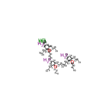 CCCCOc1c(CCCC)cc(P)cc1CCCC.CCCCOc1c(CCCC)cc(P)cc1CCCC.CCCCOc1c(CCCC)cc(P)cc1CCCC.Cl.Cl